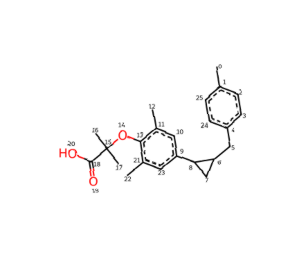 Cc1ccc(CC2CC2c2cc(C)c(OC(C)(C)C(=O)O)c(C)c2)cc1